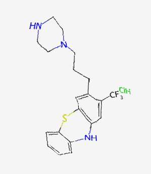 Cl.FC(F)(F)c1cc2c(cc1CCCN1CCNCC1)Sc1ccccc1N2